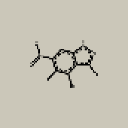 Cc1c([N+](=O)[O-])cc2[nH]nc(F)c2c1Br